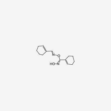 ON=C(ON=CC1=CCCCC1)C1=CCCCC1